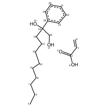 C=CC(=O)O.CCCCCCCCCC(O)(CO)c1ccccc1